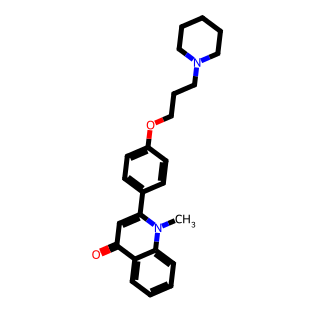 Cn1c(-c2ccc(OCCCN3CCCCC3)cc2)cc(=O)c2ccccc21